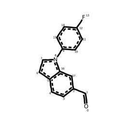 O=Cc1ccc2ccn(-c3ccc(F)cc3)c2c1